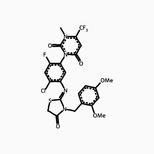 COc1ccc(CN2C(=O)CSC2=Nc2cc(-n3c(=O)cc(C(F)(F)F)n(C)c3=O)c(F)cc2Cl)c(OC)c1